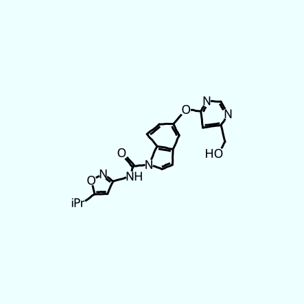 CC(C)c1cc(NC(=O)n2ccc3cc(Oc4cc(CO)ncn4)ccc32)no1